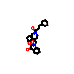 O=C1C(=O)N(CC2(O)CCN(C(=O)CCC3CCCCC3)CC23CCCC3)c2ccccc21